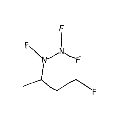 CC(CCF)N(F)N(F)F